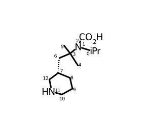 CC(C)N(C(=O)O)C(C)(C)C[C@@H]1CCCNC1